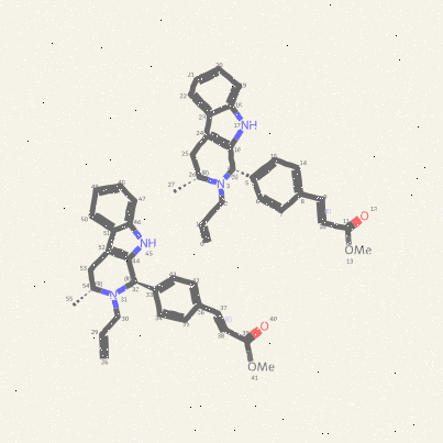 C=CCN1[C@@H](c2ccc(/C=C/C(=O)OC)cc2)c2[nH]c3ccccc3c2C[C@H]1C.C=CCN1[C@H](c2ccc(/C=C/C(=O)OC)cc2)c2[nH]c3ccccc3c2C[C@H]1C